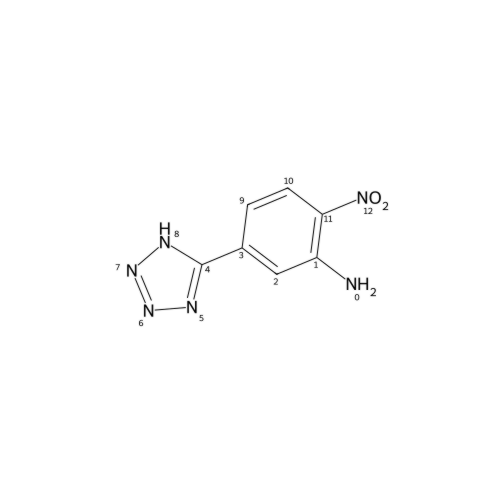 Nc1cc(-c2nnn[nH]2)ccc1[N+](=O)[O-]